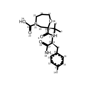 CC(C)(C)[C@@]1(C(=O)N[C@@H](Cc2ccc(I)cc2)C(N)=O)CN(C(=O)O)CCCO1